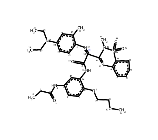 CCC(=O)Nc1ccc(OCCOC)c(NC(=O)/C(=N\c2ccc(N(CC)CC)cc2C)C2=Nc3ccccc3S(=O)(=O)N2C)c1